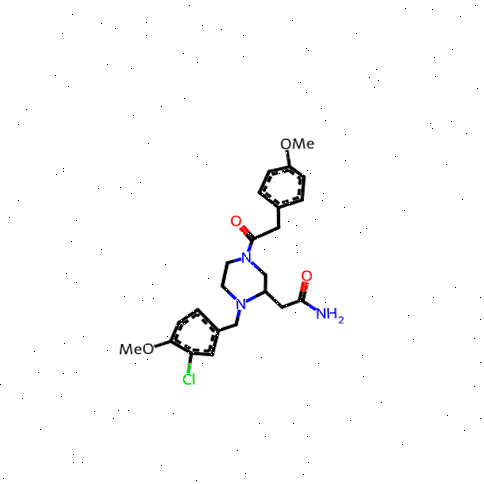 COc1ccc(CC(=O)N2CCN(Cc3ccc(OC)c(Cl)c3)C(CC(N)=O)C2)cc1